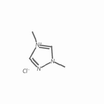 Cn1c[n+](C)cn1.[Cl-]